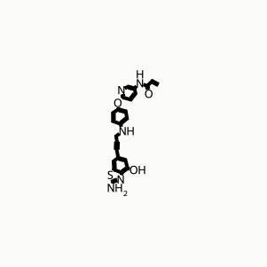 C=CC(=O)Nc1ccc(Oc2ccc(NCC#Cc3cc(O)c4nc(N)sc4c3)cc2)nc1